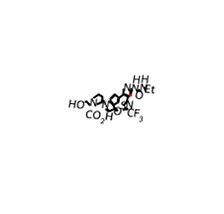 CCNC(=O)Nc1cc(-c2nc(C(F)(F)F)cs2)c(-c2ccc3c(c2)c(=O)c(C(=O)O)cn3[C@H]2CCCN(CCO)C2)cn1